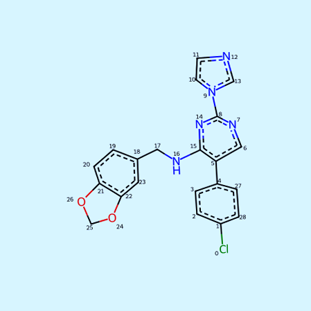 Clc1ccc(-c2cnc(-n3ccnc3)nc2NCc2ccc3c(c2)OCO3)cc1